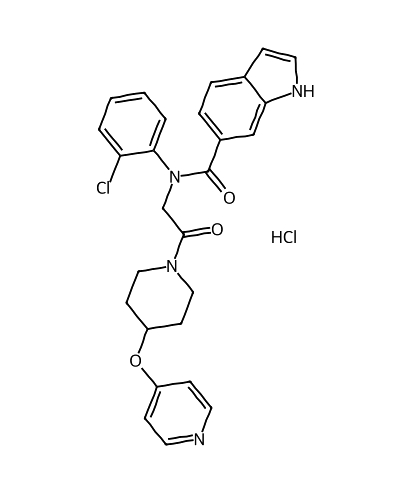 Cl.O=C(CN(C(=O)c1ccc2cc[nH]c2c1)c1ccccc1Cl)N1CCC(Oc2ccncc2)CC1